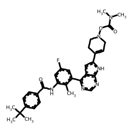 Cc1c(NC(=O)c2ccc(C(C)(C)C)cc2)cc(F)cc1-c1ncnc2[nH]c(C3=CCN(OC(=O)N(C)C)CC3)cc12